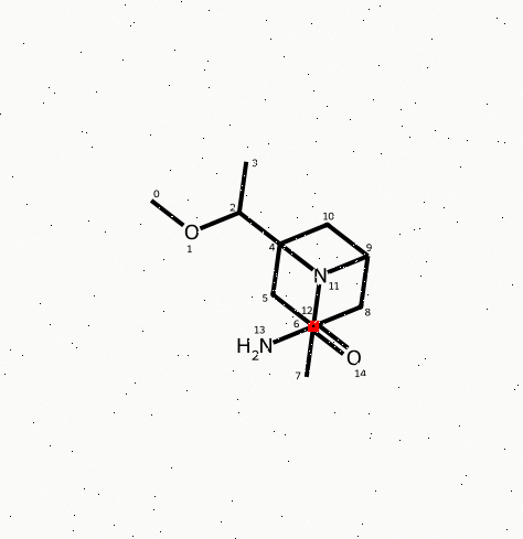 COC(C)C12CC(C)CC(C1)N2C(N)=O